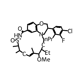 CCCc1c(C2COc3ccc4cc3N(CCC(CC)C(OC)/C(C)=C/CC(C)C(C)[S+]([O-])NC4=O)C2)ccc(Cl)c1F